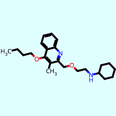 CCCCOc1c(C)c(COCCNC2CCCCC2)nc2ccccc12